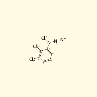 N#[N+]N(Cl)c1cccc(Cl)c1Cl